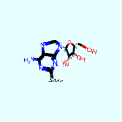 CSc1nc(N)c2ncn([C@@H]3O[C@H](CO)[C@@H](O)[C@H]3O)c2n1